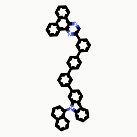 c1cc(-c2ccc(-c3cccc(-c4cnc5c6ccccc6c6ccccc6c5n4)c3)cc2)cc(-c2ccc3c4ccccc4n(-c4cccc5ccccc45)c3c2)c1